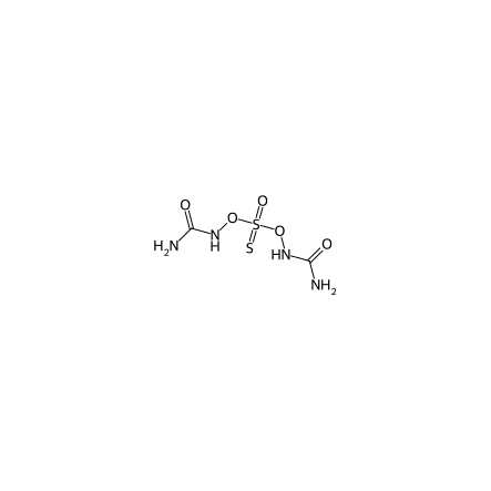 NC(=O)NOS(=O)(=S)ONC(N)=O